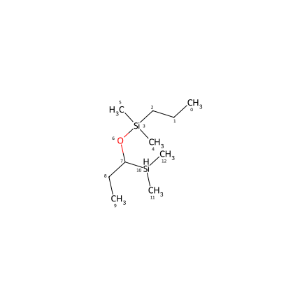 CCC[Si](C)(C)OC(CC)[SiH](C)C